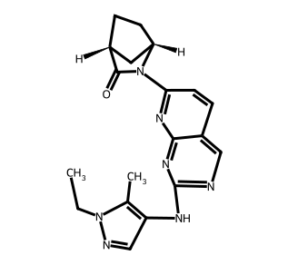 CCn1ncc(Nc2ncc3ccc(N4C(=O)[C@@H]5CC[C@H]4C5)nc3n2)c1C